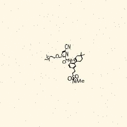 CNS(=O)(=O)CCc1ccc(NC(=O)c2nc(C#N)cn2COCC[Si](C)(C)C)c(C2=CCC(C)(C)CC2)c1